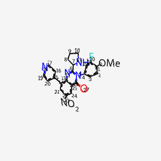 COc1ccc(-n2c(C3CCCN3)nc3c(-c4ccncc4)cc([N+](=O)[O-])cc3c2=O)cc1F